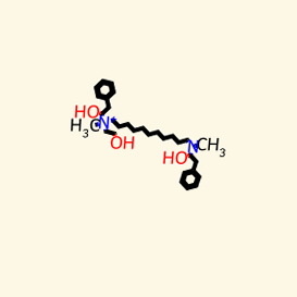 CN(CCCCCCCCCCC[N+](C)(CCO)C(O)Cc1ccccc1)C(O)Cc1ccccc1